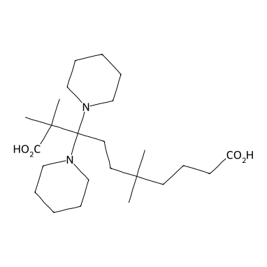 CC(C)(CCCC(=O)O)CCC(N1CCCCC1)(N1CCCCC1)C(C)(C)C(=O)O